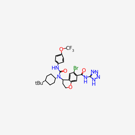 CC(C)(C)[C@H]1CC[C@H](N(C(=O)Nc2ccc(OC(F)(F)F)cc2)C2CCOc3cc(C(=O)Nc4nnn[nH]4)c(Br)cc32)CC1